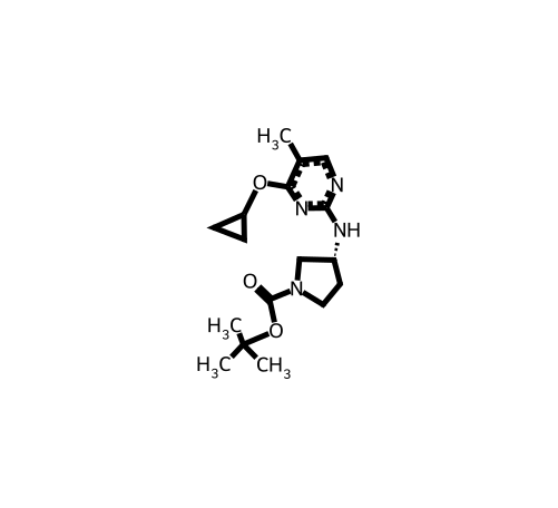 Cc1cnc(N[C@@H]2CCN(C(=O)OC(C)(C)C)C2)nc1OC1CC1